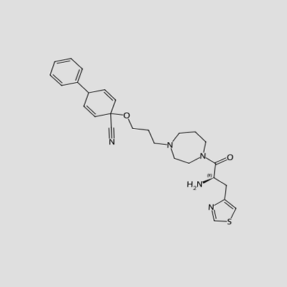 N#CC1(OCCCN2CCCN(C(=O)[C@H](N)Cc3cscn3)CC2)C=CC(c2ccccc2)C=C1